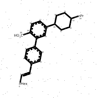 CCCCCCC=Cc1ccc(-c2cc(C3CCC(CCC)CC3)ccc2C(=O)O)cc1